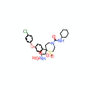 O=C(CC1(c2ccc(Oc3ccc(Cl)cc3)cc2)CCN(C(=O)NC2CCCCC2)CCS1(=O)=O)NO